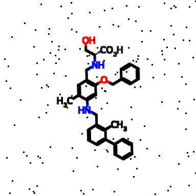 Cc1cc(CN[C@H](CO)C(=O)O)c(OCc2ccccc2)cc1NCc1cccc(-c2ccccc2)c1C